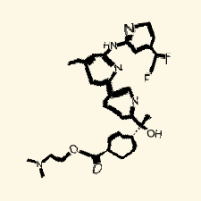 Cc1cc(Nc2cc(C(F)F)ccn2)nc(-c2ccc(C(C)(O)[C@H]3CC[C@H](C(=O)OCCN(C)C)CC3)nc2)c1